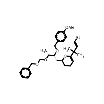 CC/C=C/C(C)(C)C1=CCC[C@@H](C[C@@H](OCc2ccc(OC)cc2)[C@@H](C)OCOCc2ccccc2)O1